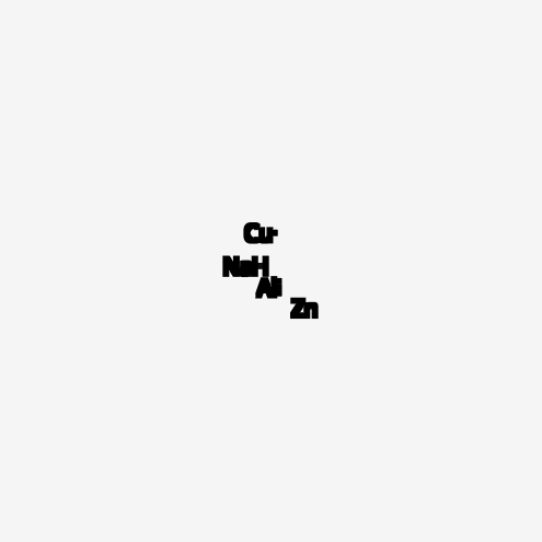 [Al].[Cu].[NaH].[Zn]